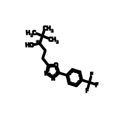 CC(C)(C)[C@H](O)CCc1nnc(-c2ccc(C(F)(F)F)cc2)o1